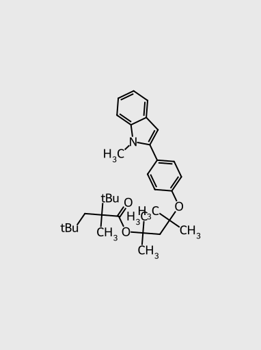 Cn1c(-c2ccc(OC(C)(C)CC(C)(C)OC(=O)C(C)(CC(C)(C)C)C(C)(C)C)cc2)cc2ccccc21